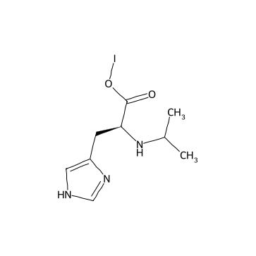 CC(C)N[C@@H](Cc1c[nH]cn1)C(=O)OI